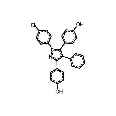 Oc1ccc(-c2nn(-c3ccc(Cl)cc3)c(-c3ccc(O)cc3)c2-c2ccccc2)cc1